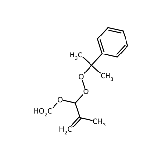 C=C(C)C(OOC(C)(C)c1ccccc1)OC(=O)O